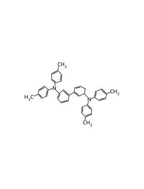 Cc1ccc(N(c2ccc(C)cc2)c2cccc(C3=CC(N(c4ccc(C)cc4)c4ccc(C)cc4)CC=C3)c2)cc1